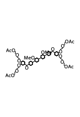 COc1cc(-c2ccc(-c3ccc(C(=O)c4ccc(OCCOCCOC(C)=O)c(OCCOCCOC(C)=O)c4)cc3)c(OC)c2)ccc1-c1ccc(C(=O)c2ccc(OCCOCCOC(C)=O)c(OCCOCCOC(C)=O)c2)cc1